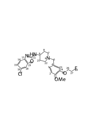 COc1ccc(CN2CCC(Nc3nc4ccc(Cl)cc4o3)CC2)cc1OCCF